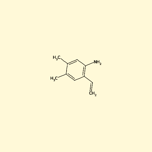 C=Cc1cc(C)c(C)cc1N